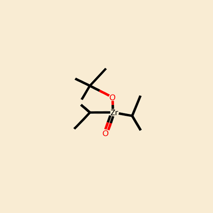 C[CH](C)[Zr](=[O])([O]C(C)(C)C)[CH](C)C